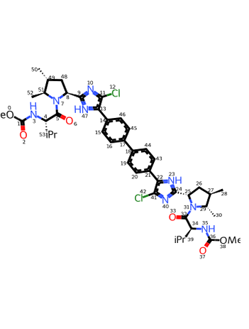 COC(=O)N[C@H](C(=O)N1[C@H](c2nc(Cl)c(-c3ccc(-c4ccc(-c5[nH]c([C@@H]6C[C@@H](C)[C@H](C)N6C(=O)[C@@H](NC(=O)OC)C(C)C)nc5Cl)cc4)cc3)[nH]2)C[C@@H](C)[C@@H]1C)C(C)C